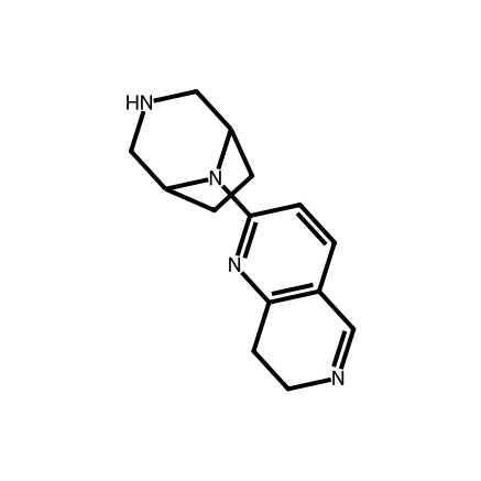 C1=NCCc2nc(N3C4CCC3CNC4)ccc21